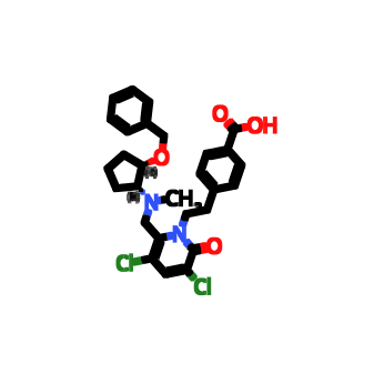 CN(Cc1c(Cl)cc(Cl)c(=O)n1CCc1ccc(C(=O)O)cc1)[C@@H]1CCC[C@H]1OCc1ccccc1